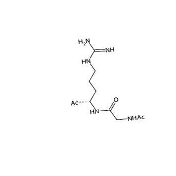 CC(=O)NCC(=O)N[C@@H](CCCNC(=N)N)C(C)=O